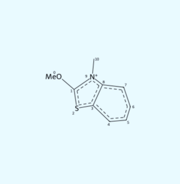 COc1sc2ccccc2[n+]1C